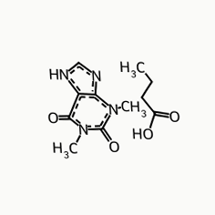 CCCC(=O)O.Cn1c(=O)c2[nH]cnc2n(C)c1=O